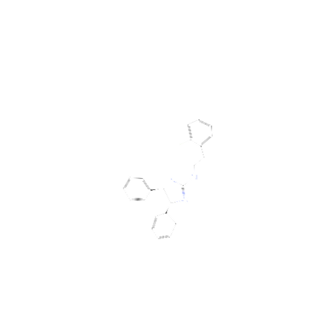 Fc1ccccc1CCNC1=N[C@@H](C2C=CC=CC2)[C@@H](c2ccccc2)N1